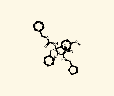 COc1ccc([C@](Cc2ccccc2)(NC(=O)OCc2ccccc2)[C@H](O)C(NOC2CCCC2)=S(=O)=O)cc1